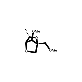 COC[C@@]12COC(C1OC)[C@H](C)O2